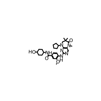 COc1cc(C(=O)NC2CCC(O)CC2)ccc1Nc1ncc2c(n1)N(C1CCCC1)CC(C)(C)C(=O)N2C